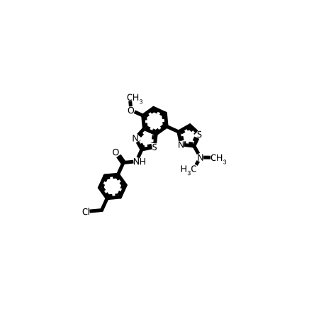 COc1ccc(-c2csc(N(C)C)n2)c2sc(NC(=O)c3ccc(CCl)cc3)nc12